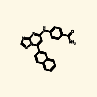 NC(=O)c1ccc(Nc2cc(-c3ccc4ccccc4c3)n3ncnc3n2)cc1